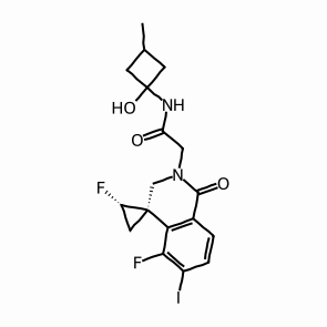 CC1CC(O)(NC(=O)CN2C[C@@]3(C[C@@H]3F)c3c(ccc(I)c3F)C2=O)C1